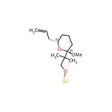 C=CC[C@@H]1CCC[C@](OC)(C(C)(C)COS)O1